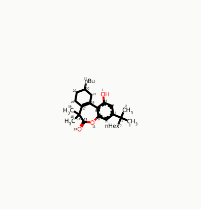 CCCCCCC(C)(C)c1cc(O)c2c(c1)OC(=O)C(C)(C)C1=C2CC(CCCC)CC1